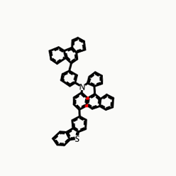 c1cc(-c2cc3ccccc3c3ccccc23)cc(N(c2ccc(-c3ccc4sc5ccccc5c4c3)cc2)c2ccccc2-c2cccc3ccccc23)c1